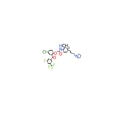 Cc1cc(C=CCCN2CCCC2)ccc1NC(=O)COc1ccc(Cl)cc1C(=O)c1cc(F)cc(C(F)(F)F)c1